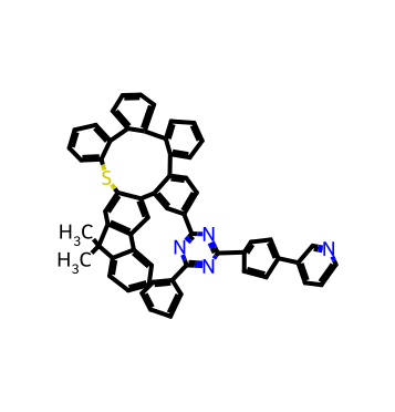 CC1(C)c2ccccc2-c2cc3c(cc21)Sc1ccccc1-c1ccccc1-c1ccccc1-c1ccc(-c2nc(-c4ccccc4)nc(-c4ccc(-c5cccnc5)cc4)n2)cc1-3